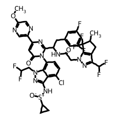 COc1cnc(-c2cc(=O)n(-c3ccc(Cl)c4c(N[S+]([O-])C5CC5)nn(CC(F)F)c34)c(C(Cc3cc(F)cc(F)c3)NC(=O)Cn3nc(C(F)F)c4c3C(F)(F)C(C)C4)n2)cn1